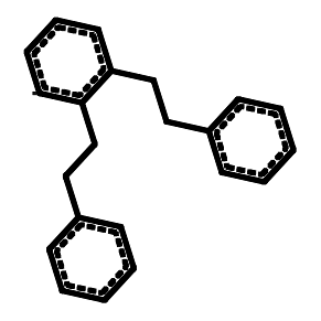 [c]1cccc(CCc2ccccc2)c1CCc1ccccc1